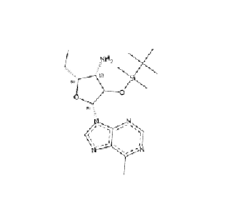 CC[C@H]1O[C@@H](n2cnc3c(C)ncnc32)C(O[Si](C)(C)C(C)(C)C)[C@H]1N